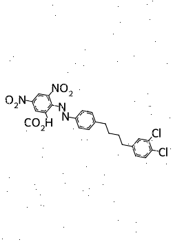 O=C(O)c1cc([N+](=O)[O-])cc([N+](=O)[O-])c1N=Nc1ccc(CCCCc2ccc(Cl)c(Cl)c2)cc1